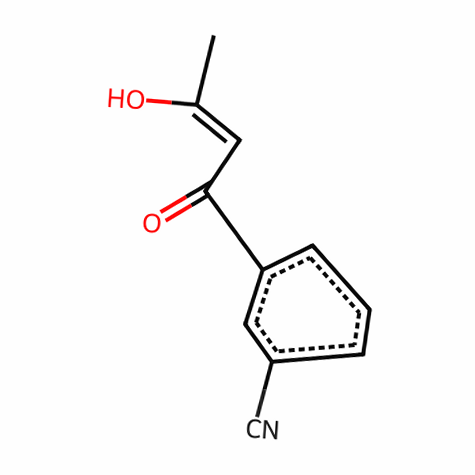 CC(O)=CC(=O)c1cccc(C#N)c1